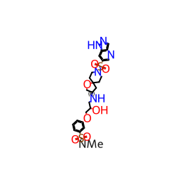 CNS(=O)(=O)c1cccc(OCC(O)CN[C@H]2COC3(CCN(S(=O)(=O)c4cnc5cn[nH]c5c4)CC3)C2)c1